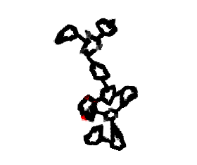 c1ccc(-c2nc(-c3ccccc3)nc(-c3ccc(-c4cc(-c5cccnc5)cc(-c5ccccc5-c5nc(-c6ccccc6)nc(-c6ccccc6-c6ccccc6)n5)c4)cc3)n2)cc1